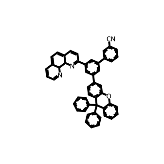 N#Cc1cccc(-c2cc(C3=NC4C(=CC=C5C=CC=NC54)C=C3)cc(-c3ccc4c(c3)Oc3ccccc3C4(c3ccccc3)c3ccccc3)c2)c1